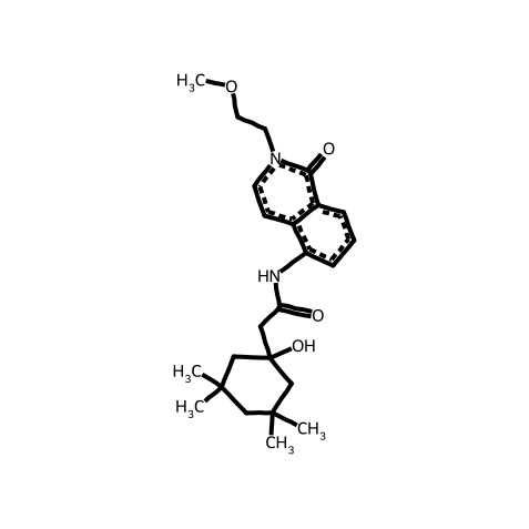 COCCn1ccc2c(NC(=O)CC3(O)CC(C)(C)CC(C)(C)C3)cccc2c1=O